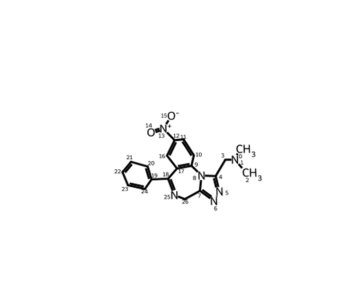 CN(C)Cc1nnc2n1-c1ccc([N+](=O)[O-])cc1C(c1ccccc1)=NC2